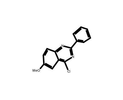 COc1ccc2nc(-c3ccccc3)nc(Cl)c2c1